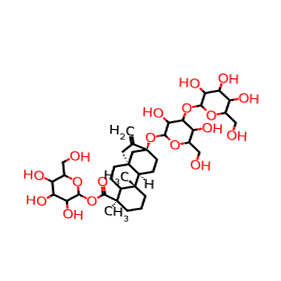 C=C1C[C@@]23CCC4[C@](C)(C(=O)OC5OC(CO)C(O)C(O)C5O)CCC[C@@]4(C)[C@@H]2CC[C@]1(OC1OC(CO)C(O)C(OC2OC(CO)C(O)C(O)C2O)C1O)C3